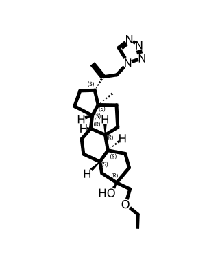 C=C(Cn1cnnn1)[C@H]1CC[C@H]2[C@@H]3CC[C@H]4C[C@@](O)(COCC)CC[C@@H]4[C@H]3CC[C@]12C